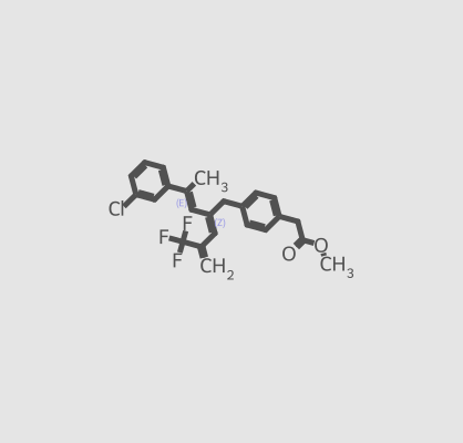 C=C(/C=C(\C=C(/C)c1cccc(Cl)c1)Cc1ccc(CC(=O)OC)cc1)C(F)(F)F